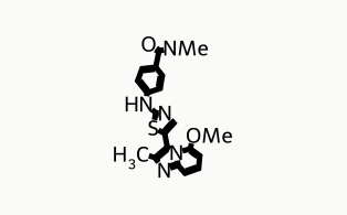 CNC(=O)c1ccc(Nc2ncc(-c3c(C)nc4cccc(OC)n34)s2)cc1